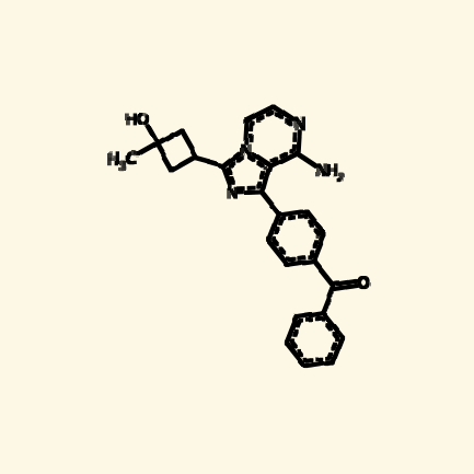 CC1(O)CC(c2nc(-c3ccc(C(=O)c4ccccc4)cc3)c3c(N)nccn23)C1